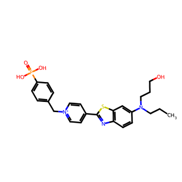 CCCN(CCCO)c1ccc2nc(-c3cc[n+](Cc4ccc(P(=O)(O)O)cc4)cc3)sc2c1